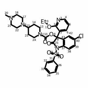 CCOc1ncccc1C1(OC(=O)N2CCC(N3CCN(C)CC3)CC2)C(=O)N(S(=O)(=O)c2ccccc2)c2ccc(Cl)cc21